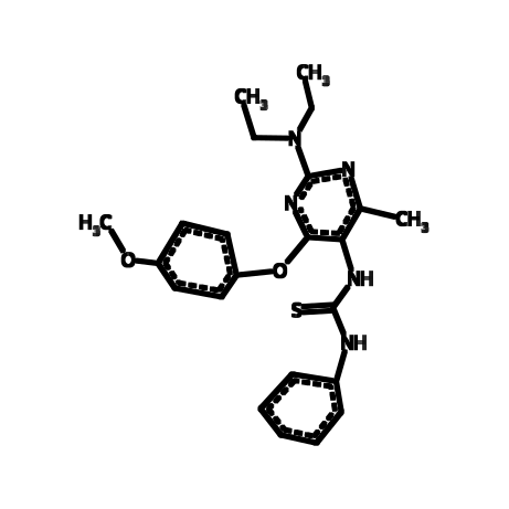 CCN(CC)c1nc(C)c(NC(=S)Nc2ccccc2)c(Oc2ccc(OC)cc2)n1